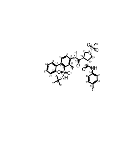 CC(C)(C)NS(=O)(=O)c1c(-c2ccccc2)ccc(NC(=O)[C@H]2CN(S(C)(=O)=O)C[C@@H]2C(=O)Nc2ccc(Cl)cc2)c1F